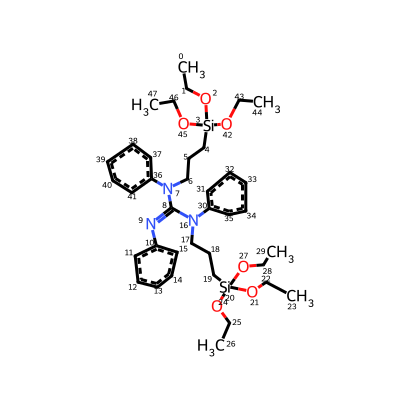 CCO[Si](CCCN(C(=Nc1ccccc1)N(CCC[Si](OCC)(OCC)OCC)c1ccccc1)c1ccccc1)(OCC)OCC